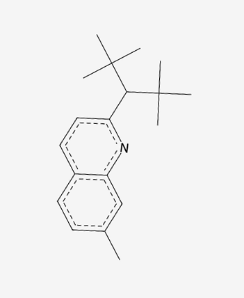 Cc1ccc2ccc(C(C(C)(C)C)C(C)(C)C)nc2c1